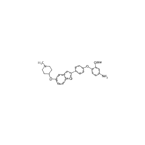 COc1cc(N)ccc1Oc1ccc(-c2cc3cc(OC4CCN(C)CC4)ccc3o2)cc1